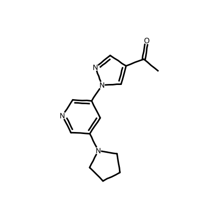 CC(=O)c1cnn(-c2cncc(N3CCCC3)c2)c1